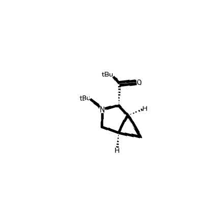 CC(C)(C)C(=O)[C@@H]1[C@H]2C[C@H]2CN1C(C)(C)C